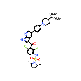 COC(OC)C1CCN(c2ccc(-c3cnc4[nH]cc(C(=O)c5c(F)ccc(NS(=O)(=O)N6[C@@H](C)CC[C@@H]6C)c5F)c4c3)cc2)CC1